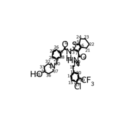 O=C(Nc1sc2c(c1C(=O)N/N=C/c1ccc(Cl)c(C(F)(F)F)c1)CCCC2)c1cccc(CN2CCC(O)CC2)c1